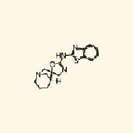 c1ccc2sc(NC3=NC[C@@]4(C[N@]5CCC[C@H]4C5)O3)nc2c1